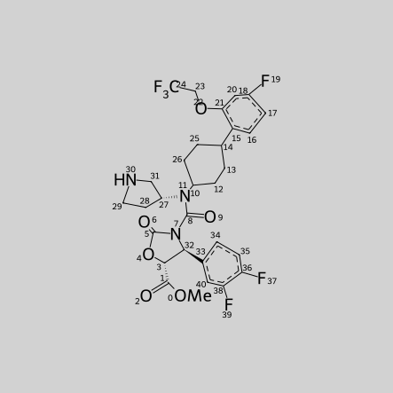 COC(=O)[C@@H]1OC(=O)N(C(=O)N(C2CCC(c3ccc(F)cc3OCC(F)(F)F)CC2)[C@@H]2CCNC2)[C@H]1c1ccc(F)c(F)c1